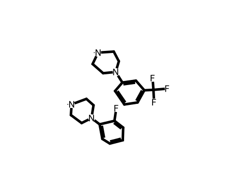 FC(F)(F)c1cccc(N2CC[N]CC2)c1.Fc1ccccc1N1CC[N]CC1